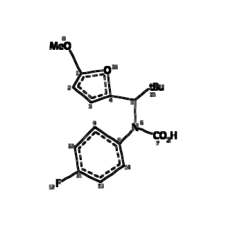 COc1ccc(C(N(C(=O)O)c2ccc(F)cc2)C(C)(C)C)o1